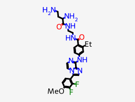 CCc1cc(Nc2nccn3c(-c4ccc(OC)c(F)c4F)cnc23)ccc1C(=O)NCCNC(=O)C(N)CCN